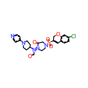 O=CN(C1CCN(c2ccncc2)CC1)N1CCN(S(=O)(=O)C2=Cc3ccc(Cl)cc3OC2)CC1=O